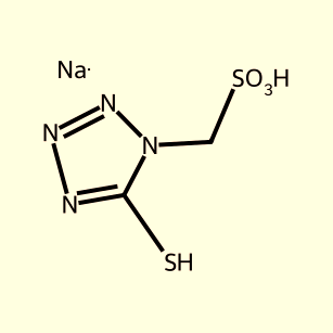 O=S(=O)(O)Cn1nnnc1S.[Na]